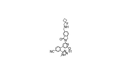 CCOc1cc(-c2ccc(C#N)cc2-c2nncn2C)cc(N2Cc3ccc(CNCC4(F)CCC4)cc3C2=O)n1